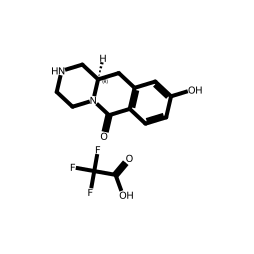 O=C(O)C(F)(F)F.O=C1c2ccc(O)cc2C[C@@H]2CNCCN12